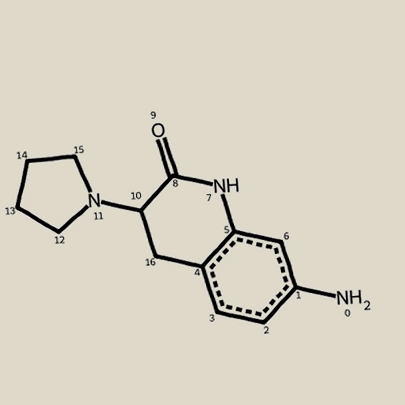 Nc1ccc2c(c1)NC(=O)C(N1CCCC1)C2